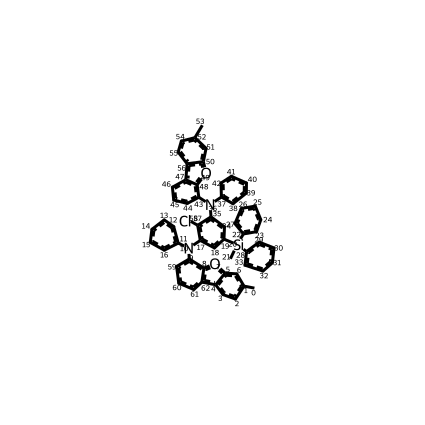 Cc1ccc2c(c1)oc1c(N(c3ccccc3)c3cc([Si](C)(c4ccccc4)c4ccccc4)cc(N(c4ccccc4)c4cccc5c4oc4cc(C)ccc45)c3Cl)cccc12